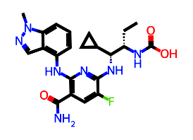 CC[C@H](NC(=O)O)[C@H](Nc1nc(Nc2cccc3c2cnn3C)c(C(N)=O)cc1F)C1CC1